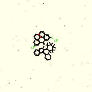 CC12C(=C3Cc4ccccc4C3=C3C=CCCC31)[C](C)([Zr+2](=[C](c1cc(Cl)cc3ccccc13)c1cc(Cl)cc3ccccc13)[CH]1C=CC=C1)C(C)(C)C(C)(C)C2(C)C.[Cl-].[Cl-]